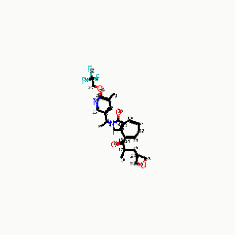 Cc1cc(C(C)N2CC3=C(C=CCC=C3C(=O)C(C)CC3COC3)C2=O)cnc1OCC(F)(F)F